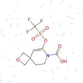 O=C(O)N1CCC2(C=C1OS(=O)(=O)C(F)(F)F)COC2